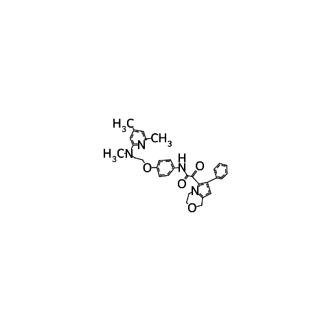 Cc1cc(C)nc(N(C)CCOc2ccc(NC(=O)C(=O)c3c(-c4ccccc4)cc4n3CCOC4)cc2)c1